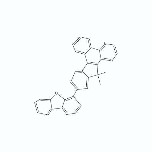 CC1(C)c2cc(-c3cccc4c3oc3ccccc34)ccc2-c2c1c1cccnc1c1ccccc21